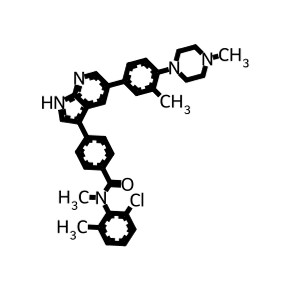 Cc1cc(-c2cnc3[nH]cc(-c4ccc(C(=O)N(C)c5c(C)cccc5Cl)cc4)c3c2)ccc1N1CCN(C)CC1